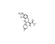 CC(C)C(=O)N[C@@H](C(=O)N1CCN(C)CC1)[C@@H](C)c1ccc(N)c(F)c1